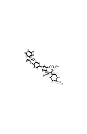 CCOC(=O)c1cn(-c2ccc(CS(=O)(=O)c3ccccc3)cc2)nc1N(C(=O)C1CCC(C)CC1)C(C)C